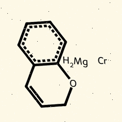 C1=Cc2ccccc2OC1.[Cr].[MgH2]